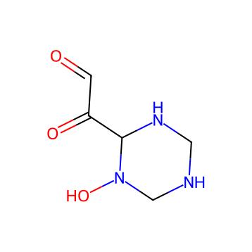 O=CC(=O)C1NCNCN1O